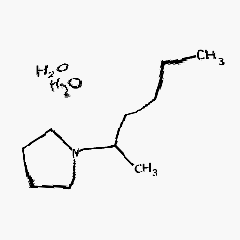 CCCCC(C)N1CCCC1.O.O